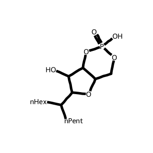 CCCCCCC(CCCCC)C1OC2COP(=O)(O)OC2C1O